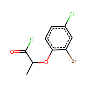 CC(Oc1ccc(Cl)cc1Br)C(=O)Cl